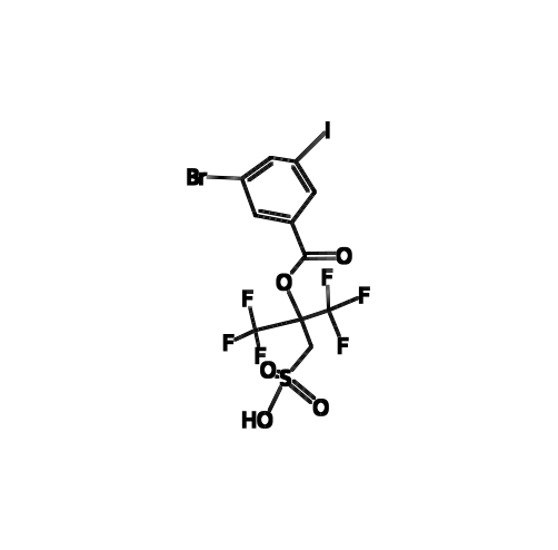 O=C(OC(CS(=O)(=O)O)(C(F)(F)F)C(F)(F)F)c1cc(Br)cc(I)c1